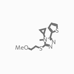 COCCSC1=NN=C(c2cccs2)[N+]1(C)C1CC1